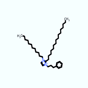 CCCCCCCCCCCCCCCCc1n(CCCCCCCCCCCC)cc[n+]1CCCc1ccccc1